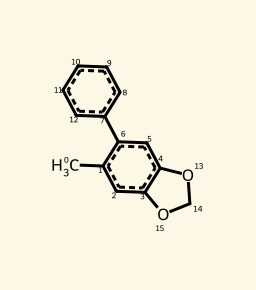 Cc1cc2c(cc1-c1ccccc1)OCO2